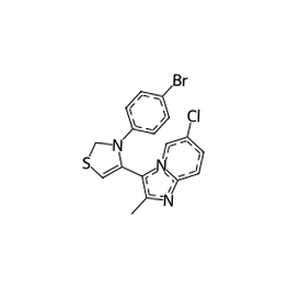 Cc1nc2ccc(Cl)cn2c1C1=CSCN1c1ccc(Br)cc1